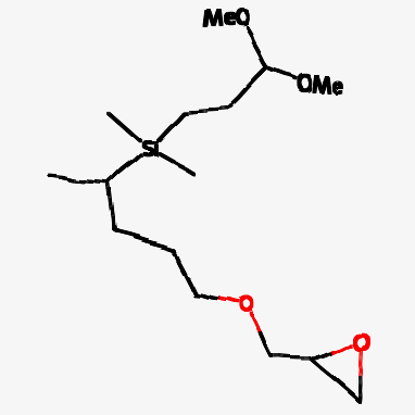 COC(CC[Si](C)(C)C(C)CCCOCC1CO1)OC